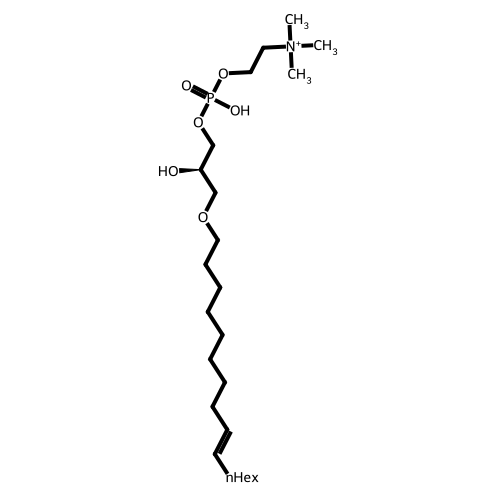 CCCCCC/C=C/CCCCCCCCOC[C@@H](O)COP(=O)(O)OCC[N+](C)(C)C